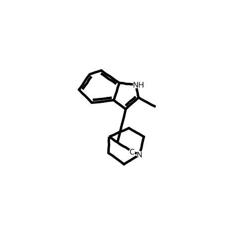 Cc1[nH]c2ccccc2c1C1CN2CCC1CC2